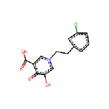 O=C(O)c1cn(CCc2cccc(Cl)c2)cc(O)c1=O